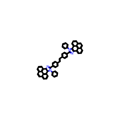 C(=C\c1ccc(-c2nc3c4cccc5ccc6cccc(c6c54)c3n2-c2ccccc2)cc1)/c1ccc(C2=NC3c4cccc5ccc6cccc(c6c45)C3N2c2ccccc2)cc1